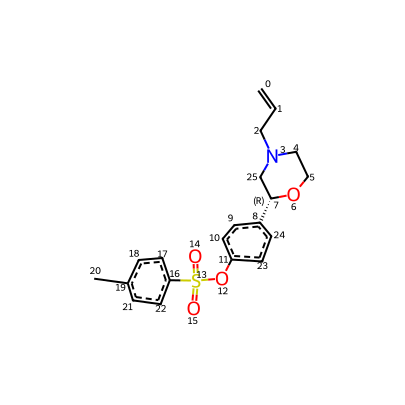 C=CCN1CCO[C@H](c2ccc(OS(=O)(=O)c3ccc(C)cc3)cc2)C1